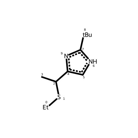 CCSC(C)c1c[nH]c(C(C)(C)C)n1